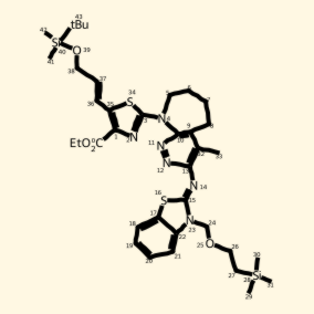 CCOC(=O)c1nc(N2CCCCc3c2nnc(/N=c2\sc4ccccc4n2COCC[Si](C)(C)C)c3C)sc1/C=C/CO[Si](C)(C)C(C)(C)C